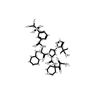 CC(C)(O)c1cnnn1[C@H]1C[C@@H](C(=O)NC2(C(=O)C(N)=O)CCOCC2)N(C(=O)[C@@H](CC2CCCCC2)NC(=O)c2cccc(S(=O)(=O)C(F)F)c2)C1